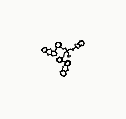 OCC(CSc1nc2ccccc2s1)(CSc1ccccc1-c1cccc2c1Sc1ccccc1S2)CSc1ccccc1-c1cccc2c1Sc1ccccc1S2